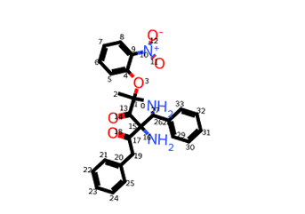 CC(C)(Oc1ccccc1[N+](=O)[O-])C(=O)C(N)(C(=O)Cc1ccccc1)C(N)c1ccccc1